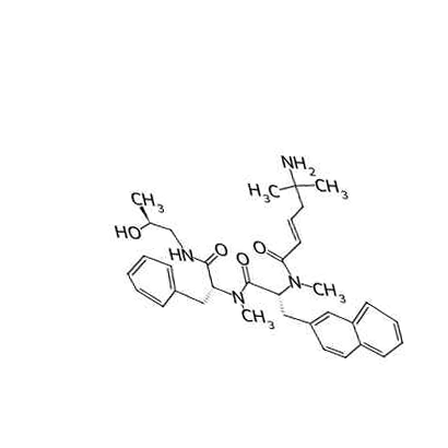 C[C@H](O)CNC(=O)[C@@H](Cc1ccccc1)N(C)C(=O)[C@@H](Cc1ccc2ccccc2c1)N(C)C(=O)C=CCC(C)(C)N